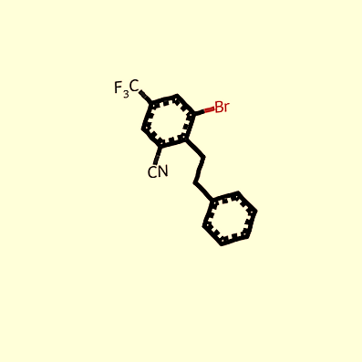 N#Cc1cc(C(F)(F)F)cc(Br)c1CCc1ccccc1